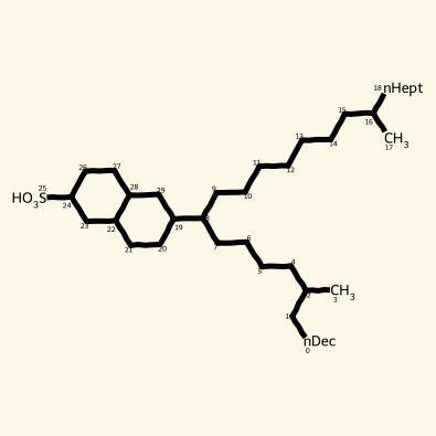 CCCCCCCCCCCC(C)CCCCC(CCCCCCCC(C)CCCCCCC)C1CCC2CC(S(=O)(=O)O)CCC2C1